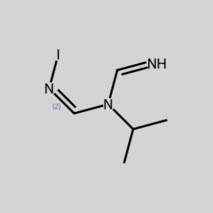 CC(C)N(C=N)/C=N\I